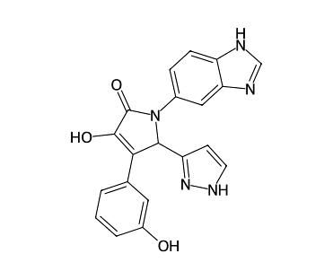 O=C1C(O)=C(c2cccc(O)c2)C(c2cc[nH]n2)N1c1ccc2[nH]cnc2c1